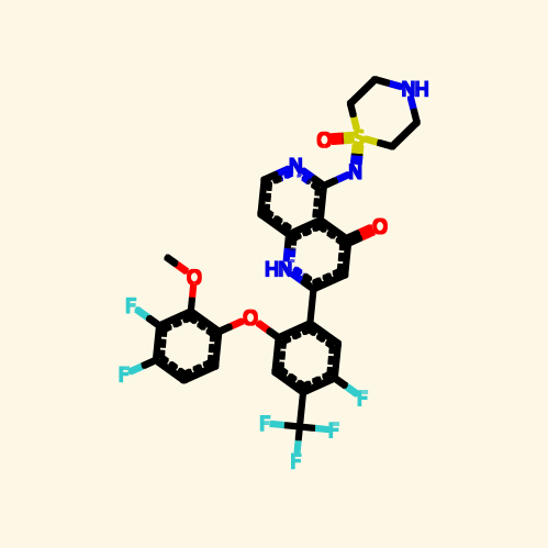 COc1c(Oc2cc(C(F)(F)F)c(F)cc2-c2cc(=O)c3c(N=S4(=O)CCNCC4)nccc3[nH]2)ccc(F)c1F